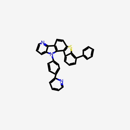 c1ccc(-c2cccc3c2sc2ccc4c5ncccc5n(-c5ccc(-c6ccccn6)cc5)c4c23)cc1